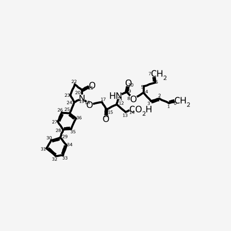 C=CC=CC(CC=C)OC(=O)NC(CC(=O)O)C(=O)CON1C(=O)CCC1c1ccc(-c2ccccc2)cc1